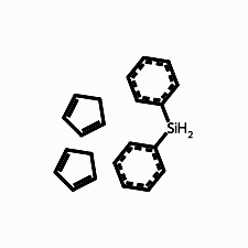 C1=CCC=C1.C1=CCC=C1.c1ccc([SiH2]c2ccccc2)cc1